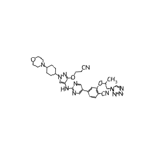 CC(Cn1cnnn1)Oc1cc(-c2cnc(Nc3cn(C4CCC(N5CCOCC5)CC4)nc3OCCC#N)nc2)ccc1C#N